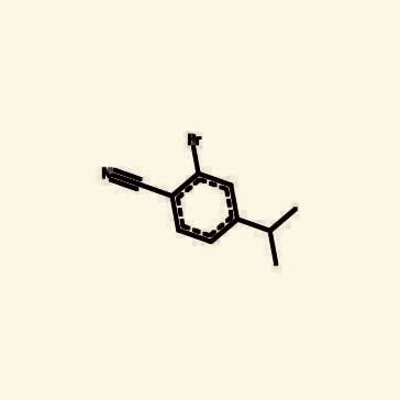 CC(C)c1ccc(C#N)c(Br)c1